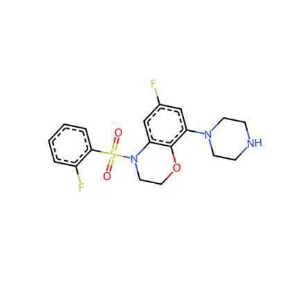 O=S(=O)(c1ccccc1F)N1CCOc2c(N3CCNCC3)cc(F)cc21